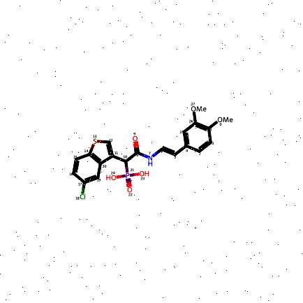 COc1ccc(C=CNC(=O)C(c2csc3ccc(Cl)cc23)P(=O)(O)O)cc1OC